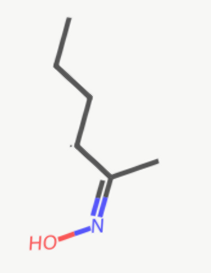 CCC[CH]/C(C)=N\O